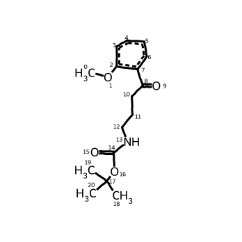 COc1ccccc1C(=O)CCCNC(=O)OC(C)(C)C